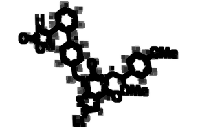 CCc1cc2c(=O)n(CC(OC)c3ccc(OC)cc3)c(=O)n(Cc3ccc(-c4ccccc4-c4noc(=O)[nH]4)cc3)c2s1